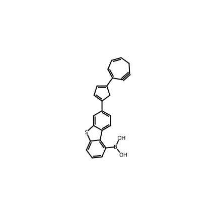 OB(O)c1cccc2sc3cc(C4=CC=C(C5=CC=CCC#C5)C4)ccc3c12